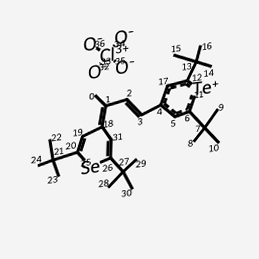 CC(C=Cc1cc(C(C)(C)C)[te+]c(C(C)(C)C)c1)=C1C=C(C(C)(C)C)[Se]C(C(C)(C)C)=C1.[O-][Cl+3]([O-])([O-])[O-]